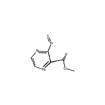 COC(=O)c1nccnc1N=S